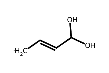 [CH2]C=CC(O)O